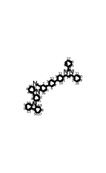 N#Cc1cc(-c2ccc(-c3ccc(-c4cc(-c5ccccc5)nc(-c5ccccc5)n4)cc3)cc2)ccc1-n1c2ccccc2c2cc(-n3c4ccccc4c4ccccc43)ccc21